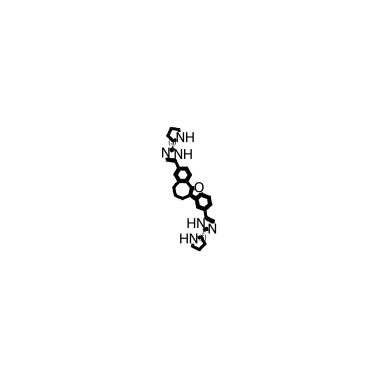 c1cc2c(cc1-c1cnc([C@@H]3CCCN3)[nH]1)CCCc1c-2oc2ccc(-c3cnc([C@@H]4CCCN4)[nH]3)cc12